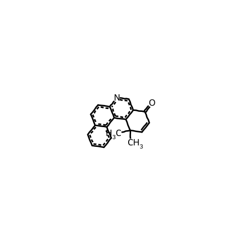 CC1(C)C=CC(=O)c2cnc3ccc4ccccc4c3c21